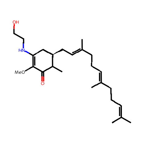 COC1=C(NCCO)C[C@@H](C/C=C(\C)CC/C=C(\C)CCC=C(C)C)C(C)C1=O